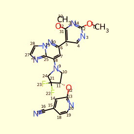 COc1ncc(-c2cc(N3C[C@H](Oc4cc(C#N)ccn4)C(F)(F)C3)c3nccn3n2)c(OC)n1